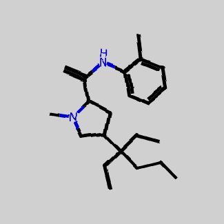 C=C(Nc1ccccc1C)C1CC(C(CC)(CC)CCC)CN1C